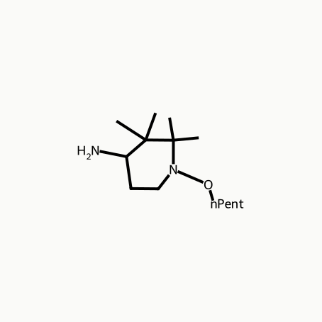 CCCCCON1CCC(N)C(C)(C)C1(C)C